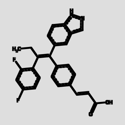 CC/C(=C(/c1ccc(/C=C/C(=O)O)cc1)c1ccc2[nH]ncc2c1)c1ccc(F)cc1F